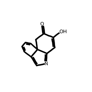 O=C1CC23C=CC=CC2=CN=C3C=C1O